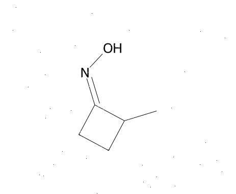 CC1CCC1=NO